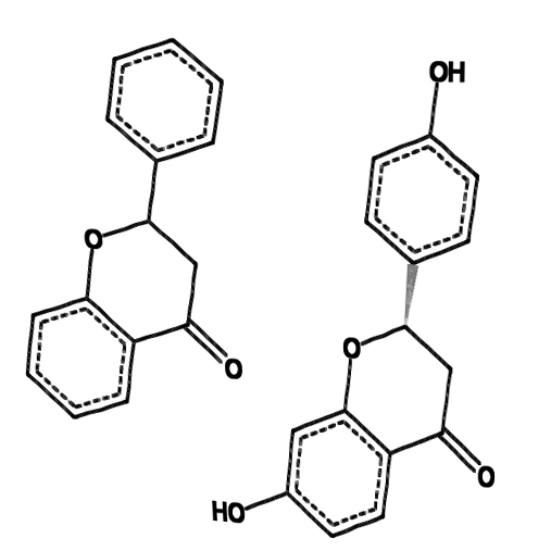 O=C1CC(c2ccccc2)Oc2ccccc21.O=C1C[C@@H](c2ccc(O)cc2)Oc2cc(O)ccc21